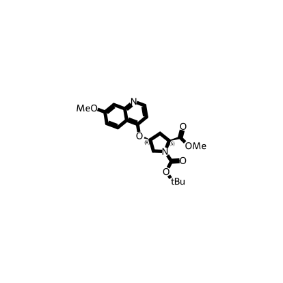 COC(=O)[C@@H]1C[C@@H](Oc2ccnc3cc(OC)ccc23)CN1C(=O)OC(C)(C)C